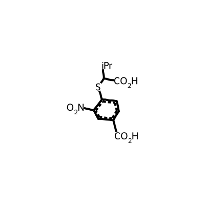 CC(C)C(Sc1ccc(C(=O)O)cc1[N+](=O)[O-])C(=O)O